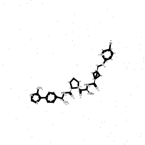 Cc1ncsc1-c1ccc([C@H](C)NC(=O)[C@@H]2CCCN2C(=O)[C@@H](NC(=O)[C@]23C[C@](COc4ccc(Br)cn4)(C2)C3)C(C)(C)C)cc1